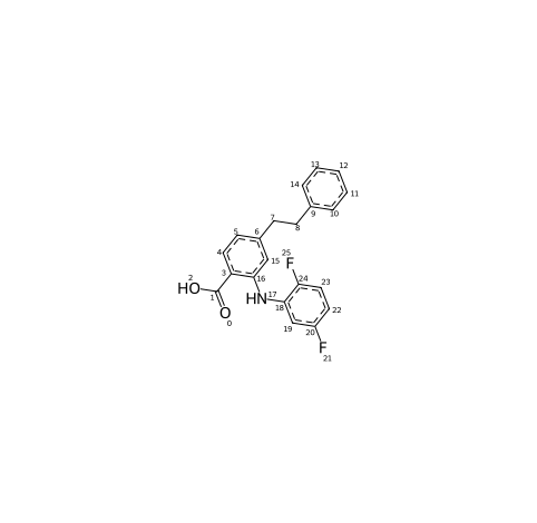 O=C(O)c1ccc(CCc2ccccc2)cc1Nc1cc(F)ccc1F